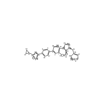 Cc1cc(-c2ccc(-c3noc(C4CC4)n3)cc2)cnc1-n1cnn(C/C(=C/F)CN)c1=O